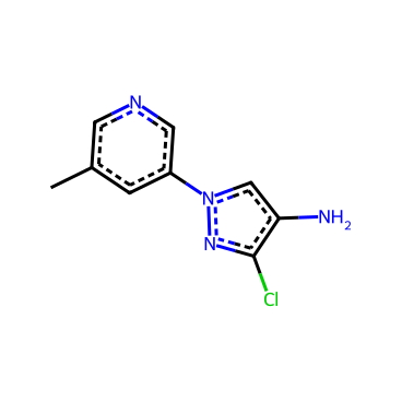 Cc1cncc(-n2cc(N)c(Cl)n2)c1